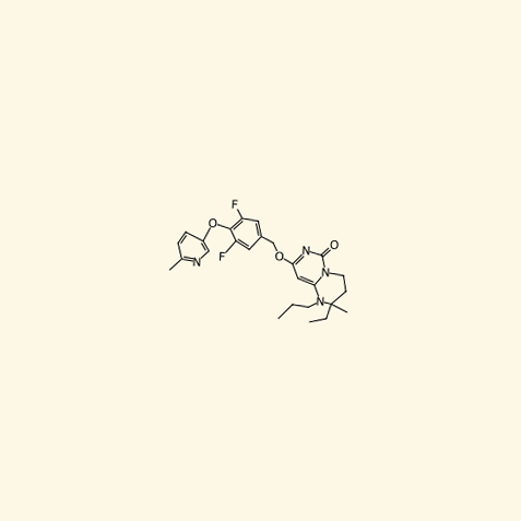 CCCN1c2cc(OCc3cc(F)c(Oc4ccc(C)nc4)c(F)c3)nc(=O)n2CCC1(C)CC